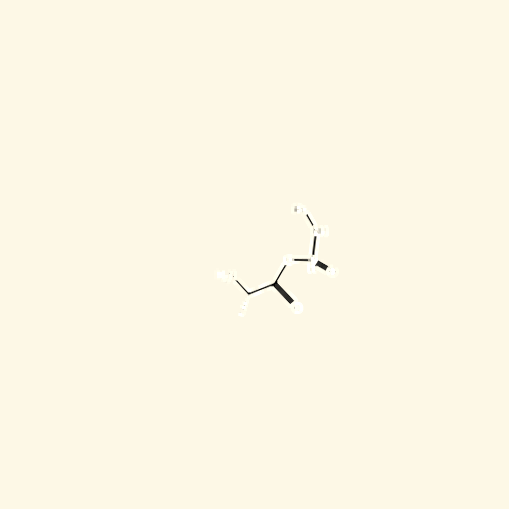 CC(C)N[PH](=O)OC(=O)[C@H](C)N